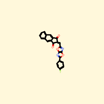 O=C1C(=Cc2nc3oc(-c4ccc(F)cc4)nc3o2)C(=O)c2cc3ccccc3cc21